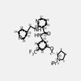 CC(C)N1CCC[C@H]1COc1cc(NC(=O)c2cccnc2NCc2ccncc2)cc(C(F)(F)F)c1